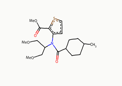 COCC(COC)N(C(=O)C1CCC(C)CC1)c1ccsc1C(=O)OC